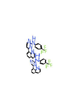 FC(F)(F)c1ccc(Nc2cncc(-c3cccc4cccnc34)n2)cc1.FC(F)(F)c1ccc(Nc2nccc(-c3cccc4cccnc34)n2)cc1